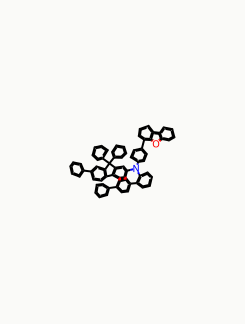 c1ccc(-c2ccc(-c3ccccc3N(c3ccc(-c4cccc5c4oc4ccccc45)cc3)c3ccc4c(c3)C(c3ccccc3)(c3ccccc3)c3cc(-c5ccccc5)ccc3-4)cc2)cc1